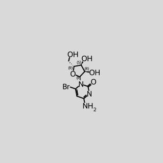 Nc1cc(Br)n([C@@H]2O[C@H](CO)[C@@H](O)[C@H]2O)c(=O)n1